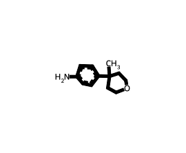 CC1(c2ccc(N)cc2)CCOCC1